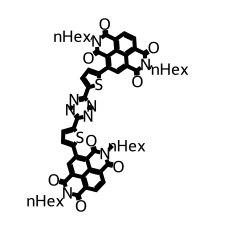 CCCCCCN1C(=O)c2ccc3c4c(c(-c5ccc(-c6nnc(-c7ccc(-c8cc9c%10c(ccc%11c%10c8C(=O)N(CCCCCC)C%11=O)C(=O)N(CCCCCC)C9=O)s7)nn6)s5)cc(c24)C1=O)C(=O)N(CCCCCC)C3=O